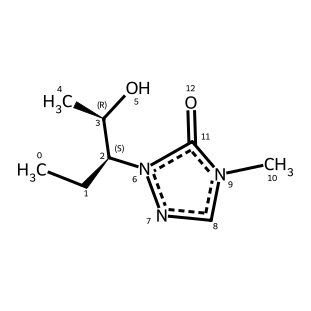 CC[C@@H]([C@@H](C)O)n1ncn(C)c1=O